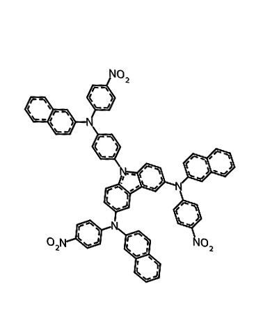 O=[N+]([O-])c1ccc(N(c2ccc(-n3c4ccc(N(c5ccc([N+](=O)[O-])cc5)c5ccc6ccccc6c5)cc4c4cc(N(c5ccc([N+](=O)[O-])cc5)c5ccc6ccccc6c5)ccc43)cc2)c2ccc3ccccc3c2)cc1